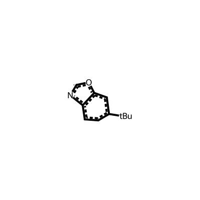 CC(C)(C)c1ccc2n[c]oc2c1